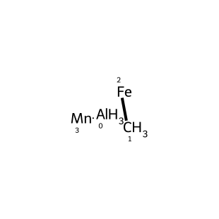 [AlH3].[CH3][Fe].[Mn]